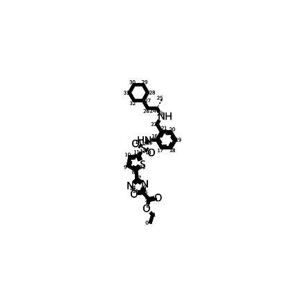 CCOC(=O)c1nc(-c2ccc(S(=O)(=O)Nc3ccccc3CN[C@@H](C)CC3CCCCC3)s2)no1